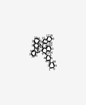 c1ccc(-c2ccc(-c3ccc(N(c4ccc5ccccc5c4)c4c5ccccc5cc5c4sc4ccccc45)c4ccccc34)cc2)cc1